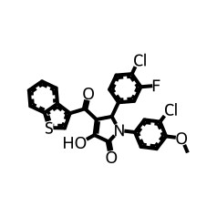 COc1ccc(N2C(=O)C(O)=C(C(=O)c3csc4ccccc34)C2c2ccc(Cl)c(F)c2)cc1Cl